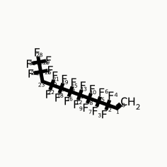 C=CC(F)(F)C(F)(F)C(F)(F)C(F)(F)C(F)(F)C(F)(F)C(F)(F)CC(F)(F)C(F)(F)F